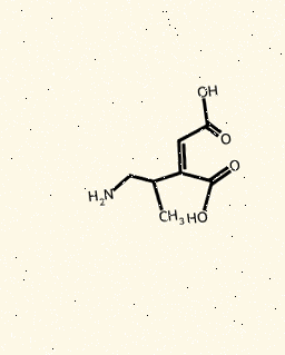 CC(CN)/C(=C/C(=O)O)C(=O)O